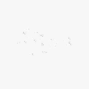 CCCN(CC[SH](=O)=O)c1nccc2cnc(Nc3ccc(-c4cnn(C)c4)cc3OC)nc12